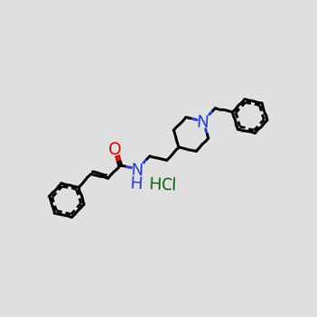 Cl.O=C(C=Cc1ccccc1)NCCC1CCN(Cc2ccccc2)CC1